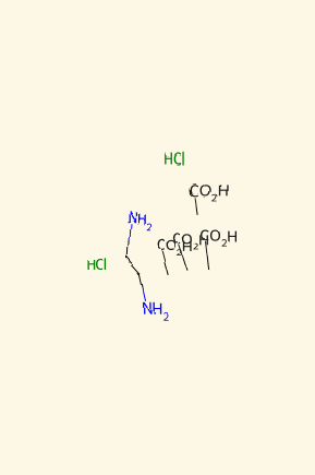 CC(=O)O.CC(=O)O.CC(=O)O.CC(=O)O.Cl.Cl.NCCN